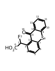 O=C(O)C(F)c1cccc2sc3ccccc3c(=O)c12